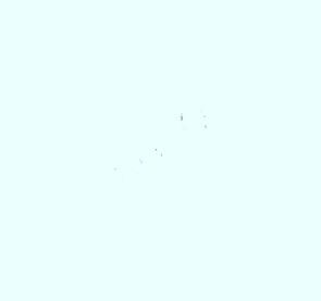 CCc1ccccc1NC(=O)c1ccccc1C